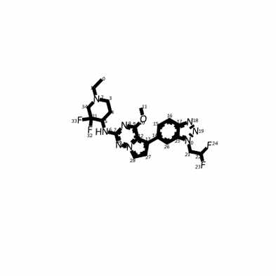 CCN1CCC(Nc2nc(OC)c3c(-c4ccc5nnn(CC(F)F)c5c4)ccn3n2)C(F)(F)C1